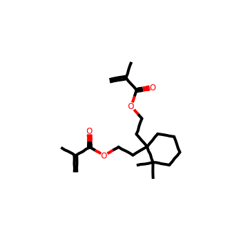 C=C(C)C(=O)OCCC1(CCOC(=O)C(=C)C)CCCCC1(C)C